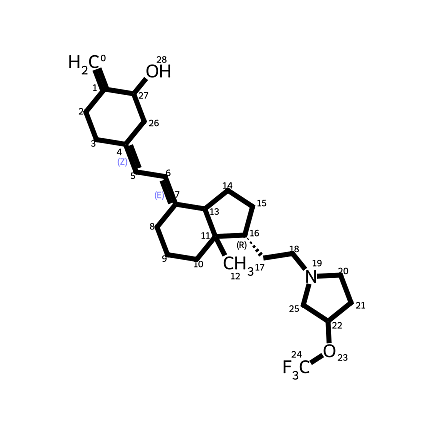 C=C1CC/C(=C/C=C2\CCCC3(C)C2CC[C@@H]3CCN2CCC(OC(F)(F)F)C2)CC1O